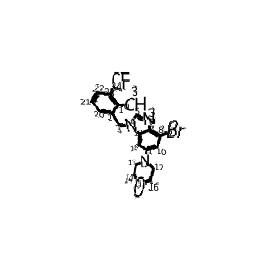 Cc1c(Cn2cnc3c(Br)cc(N4CCOCC4)cc32)cccc1C(F)(F)F